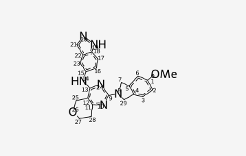 COc1ccc2c(c1)CN(c1nc3c(c(Nc4ccc5[nH]ncc5c4)n1)COCC3)C2